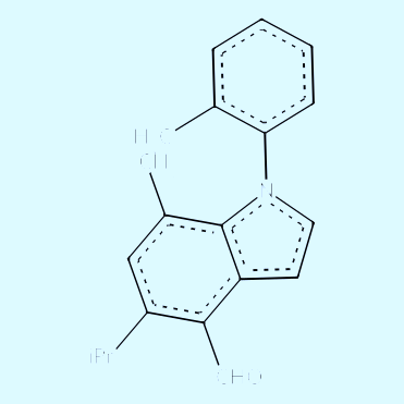 Cc1ccccc1-n1ccc2c(C=O)c(C(C)C)cc(C)c21